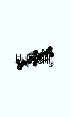 CC1(C)c2cc(-c3ncc(N(c4ccccc4)c4ccccc4)cn3)ccc2-c2c1cc1c(-c3ccccc3F)c3c(cc1c2-c1ccccc1F)C(C)(C)c1cc(-c2ncc(N(c4ccccc4)c4ccccc4)cn2)ccc1-3